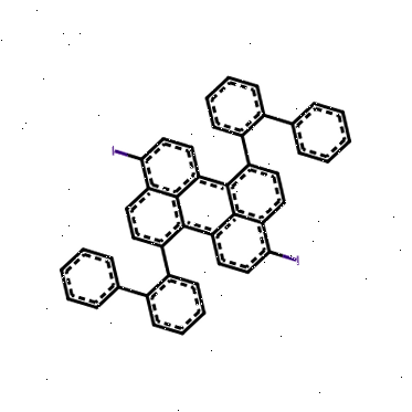 Ic1ccc2c3c(-c4ccccc4-c4ccccc4)ccc4c(I)ccc(c5c(-c6ccccc6-c6ccccc6)ccc1c25)c43